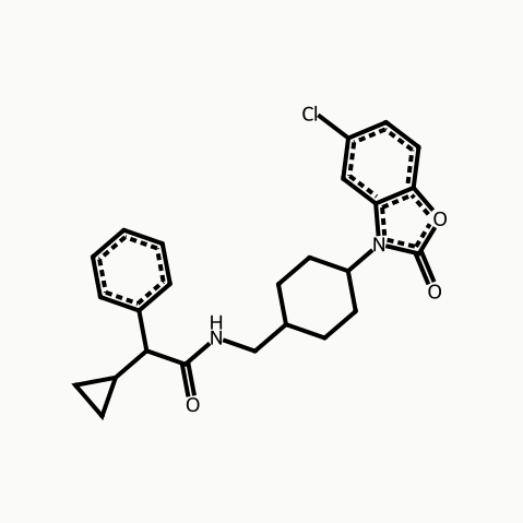 O=C(NCC1CCC(n2c(=O)oc3ccc(Cl)cc32)CC1)C(c1ccccc1)C1CC1